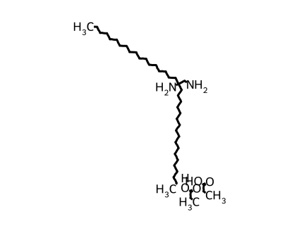 CCC(=O)O.CCC(=O)O.CCCCCCCCCCCCCCCCCCC(N)(CN)CCCCCCCCCCCCCCCCCC